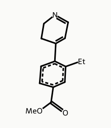 CCc1cc(C(=O)OC)ccc1C1=CC=NCC1